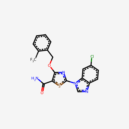 NC(=O)c1sc(-n2cnc3ccc(Cl)cc32)nc1OCc1ccccc1C(F)(F)F